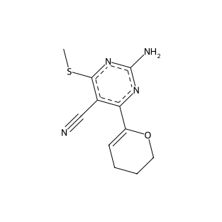 CSc1nc(N)nc(C2=CCCCO2)c1C#N